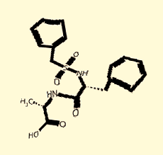 C[C@H](NC(=O)[C@@H](Cc1ccccc1)NS(=O)(=O)Cc1ccccc1)C(=O)O